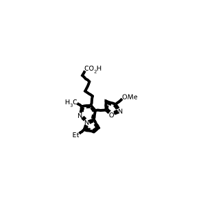 CCc1ccc2c(-c3cc(OC)no3)c(CCCCC(=O)O)c(C)nn12